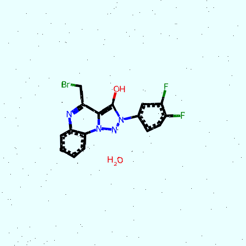 O.OC1=C2C(CBr)=Nc3ccccc3N2[N]N1c1ccc(F)c(F)c1